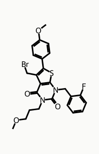 COCCCn1c(=O)c2c(CBr)c(-c3ccc(OC)cc3)sc2n(Cc2ccccc2F)c1=O